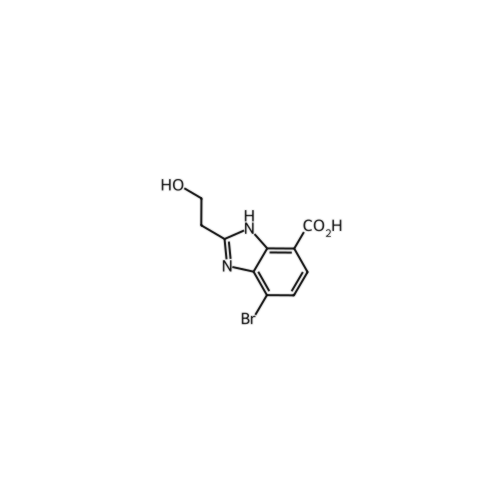 O=C(O)c1ccc(Br)c2nc(CCO)[nH]c12